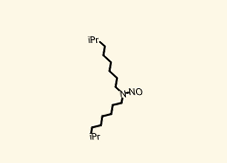 CC(C)CCCCCCN(CCCCCCC(C)C)N=O